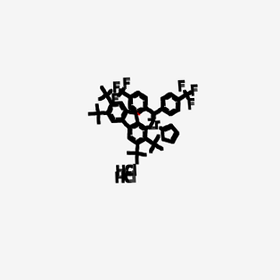 CC(C)(C)c1cc2c(cc1C(C)(C)C)-c1cc(C(C)(C)C)c(C(C)(C)C)[c]([Zr]([C]3=CC=CC3)=[C](c3ccc(C(F)(F)F)cc3)c3ccc(C(F)(F)F)cc3)c1C2.Cl.Cl